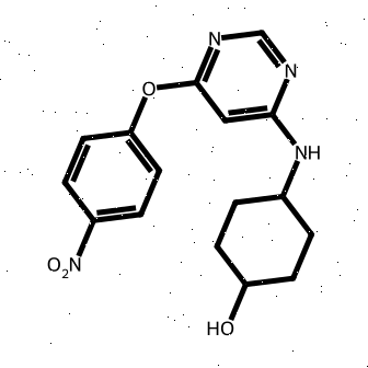 O=[N+]([O-])c1ccc(Oc2cc(NC3CCC(O)CC3)ncn2)cc1